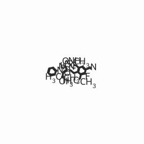 CC(C)c1cc(C#N)c(F)c(C(C)C)c1CC(=O)N=S(N)(=O)c1cc(C(C)(C)O)n(-c2ccccc2)n1